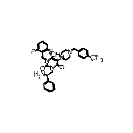 Cc1c(N2CCN(Cc3ccc(C(F)(F)F)cc3)CC2)c(=O)n(CC(N)c2ccccc2)c(=O)n1Cc1c(F)cccc1F